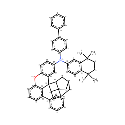 CC1(C)CCC(C)(C)c2cc(N(c3ccc(-c4ccccc4)cc3)c3ccc4c(c3)C3(c5c(cccc5-c5ccccc5)O4)C4CC5CC6CC3C64C5)ccc21